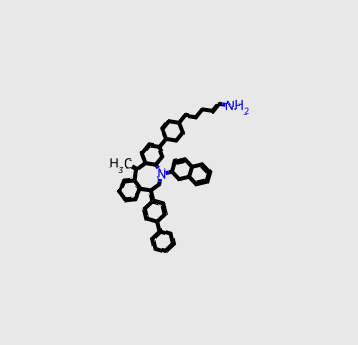 CC1C2CCCCC2C(C2CCC(C3CCCCC3)CC2)CN(C2C=CC3C=CC=CC3C2)C2CC(C3CCC(CCCCCN)CC3)CCC12